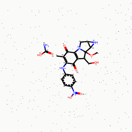 COC12C(CO)C3=C(C(=O)C(C)=C(Nc4ccc([N+](=O)[O-])cc4)C3=O)N1CC1NC12.NC(=O)O